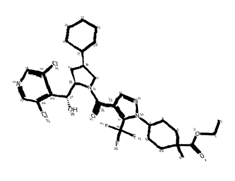 CCOC(=O)C1(C)CCC(n2ncc(C(=O)N3C[C@H](C4CCCCC4)C[C@@H]3[C@H](O)c3c(Cl)cncc3Cl)c2C(F)(F)F)CC1